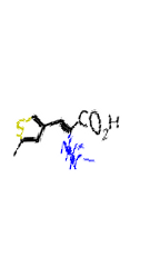 Cc1cc(C=C(N=[N+]=[N-])C(=O)O)cs1